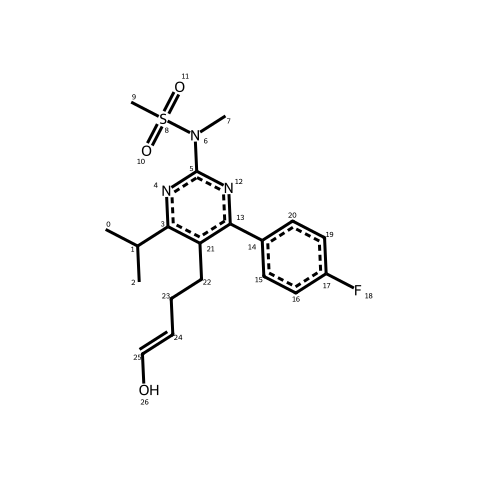 CC(C)c1nc(N(C)S(C)(=O)=O)nc(-c2ccc(F)cc2)c1CCC=CO